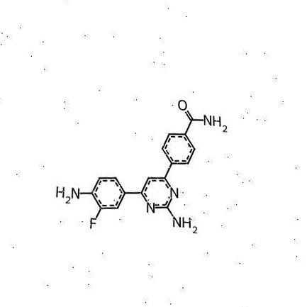 NC(=O)c1ccc(-c2cc(-c3ccc(N)c(F)c3)nc(N)n2)cc1